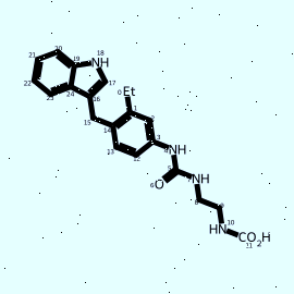 CCc1cc(NC(=O)NCCNC(=O)O)ccc1Cc1c[nH]c2ccccc12